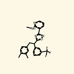 CNc1ncccc1-c1noc(C(Cc2ccc(C)c(C)c2)c2cccc(C(F)(F)F)c2)n1